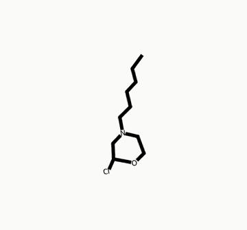 CCCCCCN1CCOC(Cl)C1